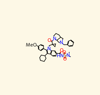 COc1ccc(-c2c(C3CCCCC3)c3ccc(C(=O)NS(=O)(=O)N(C)C)cc3n2CC2(C(=O)N3CCCC4CN(Cc5ccccc5)CC43)CC2)cc1